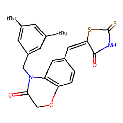 CC(C)(C)c1cc(CN2C(=O)COc3ccc(C=C4SC(=S)NC4=O)cc32)cc(C(C)(C)C)c1